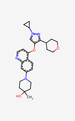 CC1(O)CCN(c2ccc3c(Oc4cn(C5CC5)nc4C4CCOCC4)ccnc3c2)CC1